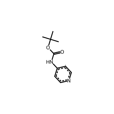 CC(C)(C)OC(=O)Nc1[c]cncc1